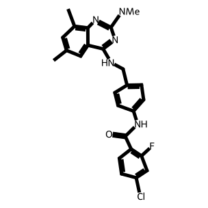 CNc1nc(NCc2ccc(NC(=O)c3ccc(Cl)cc3F)cc2)c2cc(C)cc(C)c2n1